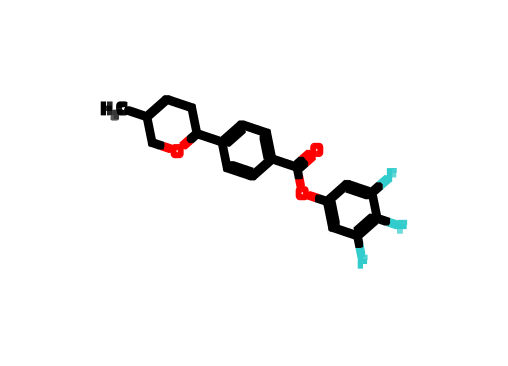 CC1CCC(c2ccc(C(=O)Oc3cc(F)c(F)c(F)c3)cc2)OC1